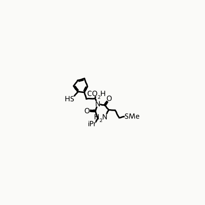 CSCCC(N)C(=O)N(C(=O)CC(C)C)C(Cc1ccccc1S)C(=O)O